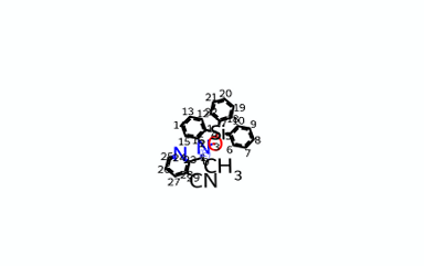 C/C(=N\O[Si](c1ccccc1)(c1ccccc1)c1ccccc1)c1ncccc1C#N